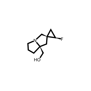 OC[C@@]12CCCN1C[C@]1(C[C@H]1F)C2